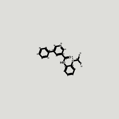 O=C(Nc1ccccc1OC(F)F)c1cncc(-c2ccccc2)c1